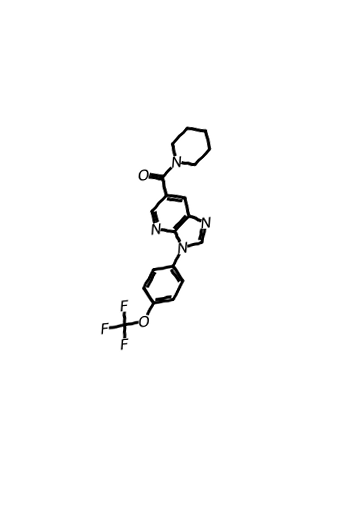 O=C(c1cnc2c(c1)ncn2-c1ccc(OC(F)(F)F)cc1)N1CCCCC1